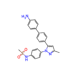 Cc1cc(-c2ccc(-c3ccc(N)cc3)cc2)n(-c2ccc(NS(C)(=O)=O)cc2)n1